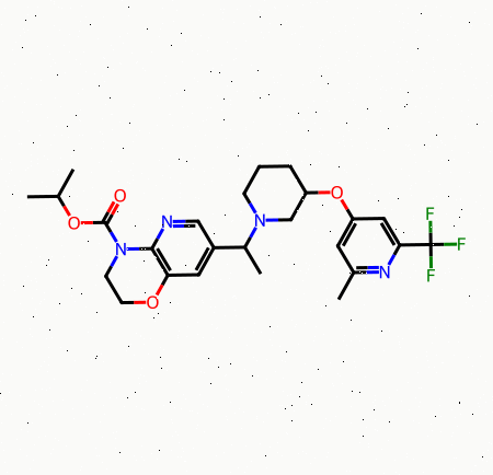 Cc1cc(OC2CCCN(C(C)c3cnc4c(c3)OCCN4C(=O)OC(C)C)C2)cc(C(F)(F)F)n1